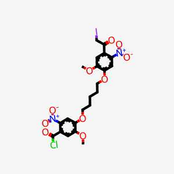 COc1cc(C(=O)Cl)c([N+](=O)[O-])cc1OCCCCCOc1cc([N+](=O)[O-])c(C(=O)CI)cc1OC